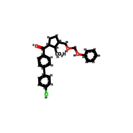 O=C(c1ccc(-c2ccc(Cl)cc2)cc1)C1CCC(COCOc2ccccc2)C1C(=O)O